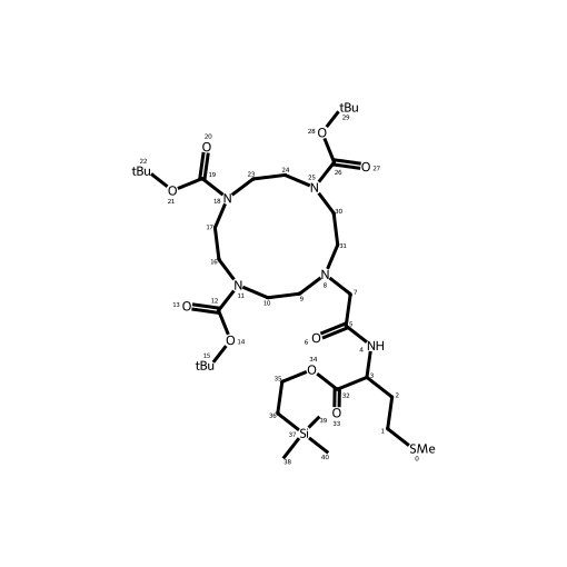 CSCCC(NC(=O)CN1CCN(C(=O)OC(C)(C)C)CCN(C(=O)OC(C)(C)C)CCN(C(=O)OC(C)(C)C)CC1)C(=O)OCC[Si](C)(C)C